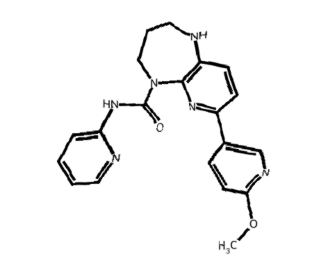 COc1ccc(-c2ccc3c(n2)N(C(=O)Nc2ccccn2)CCCN3)cn1